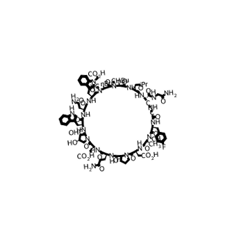 CCCC[C@H]1C(=O)N(C)[C@@H](CCCC)C(=O)N[C@@H](CC(C)C)C(=O)N[C@H](C(=O)NCC(N)=O)CNCC(=O)N[C@@H](Cc2ccc(F)cc2)C(=O)N(C)[C@@H](C)C(=O)N[C@@H](CC(=O)O)C(=O)N2CCC[C@H]2C(=O)N[C@@H](CCC(N)=O)C(=O)N[C@@H](CC(=O)O)C(=O)N2C[C@H](O)CC2(C=O)N[C@@H](Cc2c[nH]c3ccccc23)C(=O)N[C@@H](CC(N)=O)C(=O)N[C@@H](Cc2cn(CC(=O)O)c3ccccc23)C(=O)N1C